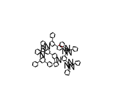 c1ccc(-c2cc(-c3ccccc3)cc(N3c4ccccc4B4c5ccccc5N(c5cc(-c6ccccc6)cc(-c6ccccc6)c5)c5cc(-c6ccc7c(c6)c6ccccc6n7-c6cc(-c7nc(-c8ccccc8)nc(-c8ccccc8)n7)cc(-c7nc(-c8ccccc8)nc(-c8ccccc8)n7)c6)cc3c54)c2)cc1